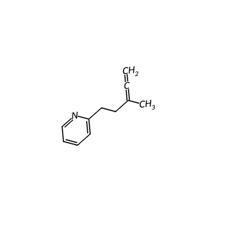 C=C=C(C)CCc1ccccn1